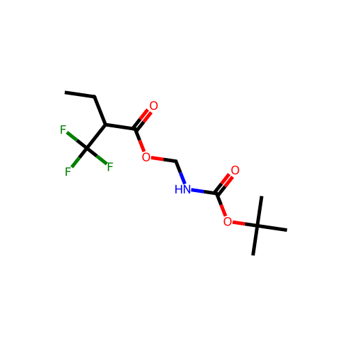 CCC(C(=O)OCNC(=O)OC(C)(C)C)C(F)(F)F